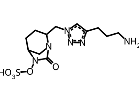 NCCCc1cn(CC2CCC3CN2C(=O)N3OS(=O)(=O)O)nn1